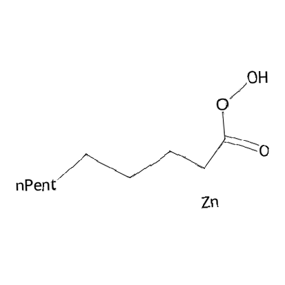 CCCCCCCCCC(=O)OO.[Zn]